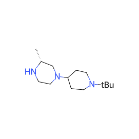 C[C@@H]1CN(C2CCN(C(C)(C)C)CC2)CCN1